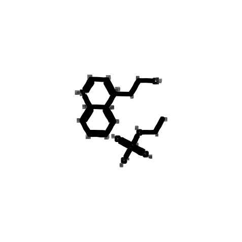 CCOS(=O)(=O)[O-].ClCCC1=CC=[N+]c2ccccc21